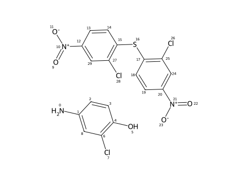 Nc1ccc(O)c(Cl)c1.O=[N+]([O-])c1ccc(Sc2ccc([N+](=O)[O-])cc2Cl)c(Cl)c1